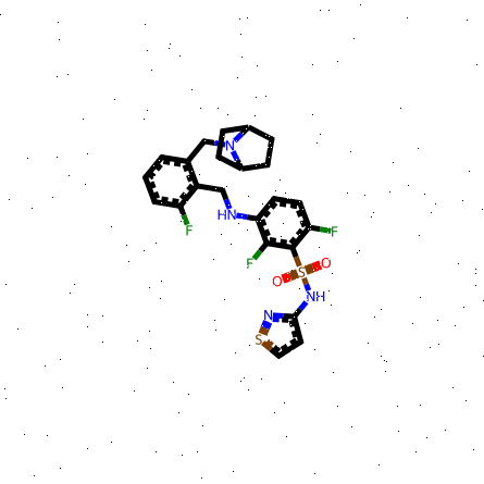 O=S(=O)(Nc1ccsn1)c1c(F)ccc(NCc2c(F)cccc2CN2C3CCC2CC3)c1F